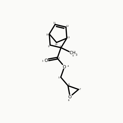 CC1(C(=O)OCC2CO2)CC2C=CC1C2